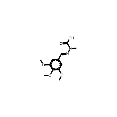 COc1cc(C=NN(C)C(=O)O)cc(OC)c1OC